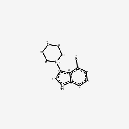 Brc1cccc2[nH]nc(N3CCOCC3)c12